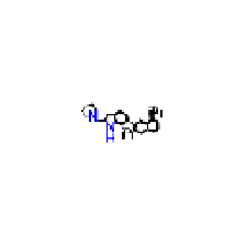 CC(C)c1cccc2ccc(-c3ccc4cc(CN5CCCCC5)[nH]c4c3C(C)C)cc12